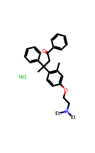 CCN(CC)CCOc1ccc(C(C)(CC(=O)c2ccccc2)c2ccccc2)c(C)c1.Cl